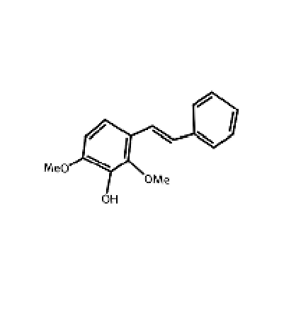 COc1ccc(C=Cc2ccccc2)c(OC)c1O